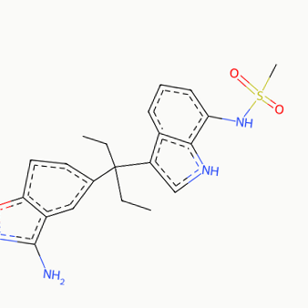 CCC(CC)(c1ccc2onc(N)c2c1)c1c[nH]c2c(NS(C)(=O)=O)cccc12